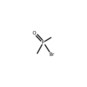 CP(C)(=O)Br